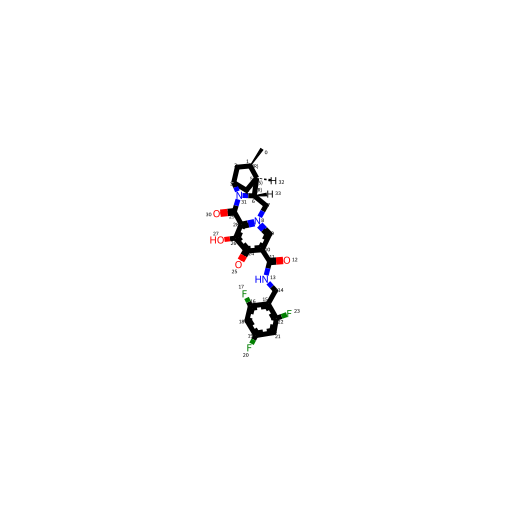 C[C@@H]1CC2C[C@@H]1[C@@H]1Cn3cc(C(=O)NCc4c(F)cc(F)cc4F)c(=O)c(O)c3C(=O)N21